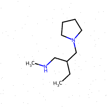 CCC(CNC)CN1CCCC1